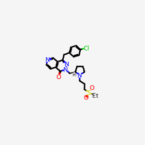 CCS(=O)(=O)CCCN1CCC[C@@H]1Cn1nc(Cc2ccc(Cl)cc2)c2cnccc2c1=O